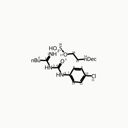 CCCCC(=N)NC(=O)Nc1ccc(Cl)cc1.CCCCCCCCCCCCOS(=O)(=O)O